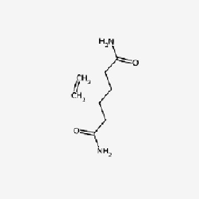 C=C.NC(=O)CCCCC(N)=O